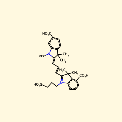 CCCN1/C(=C/C=C/C2=[N+](CCCS(=O)(=O)O)c3cccc(C(=O)O)c3C2(C)C)C(C)(C)c2ccc(C(=O)O)cc21